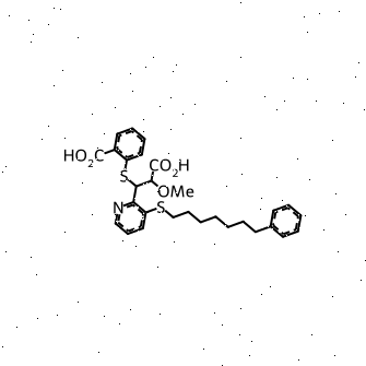 COC(C(=O)O)C(Sc1ccccc1C(=O)O)c1ncccc1SCCCCCCCc1ccccc1